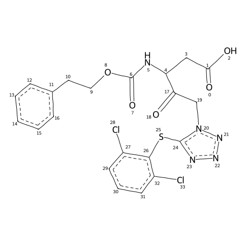 O=C(O)CC(NC(=O)OCCc1ccccc1)C(=O)Cn1nnnc1Sc1c(Cl)cccc1Cl